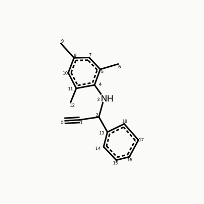 C#CC(Nc1c(C)cc(C)cc1C)c1ccccc1